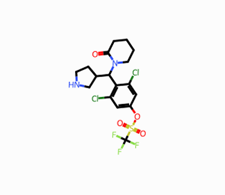 O=C1CCCCN1C(c1c(Cl)cc(OS(=O)(=O)C(F)(F)F)cc1Cl)C1CCNC1